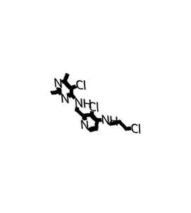 Cc1nc(C)c(Cl)c(NCc2nccc(NCCCCl)c2Cl)n1